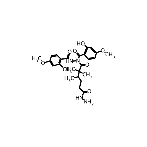 COc1ccc(C(=O)NN(C(=O)c2ccc(OC)cc2O)C(=O)C(C)(C)C(C)CCC(=O)NN)c(O)c1